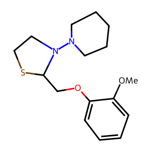 COc1ccccc1OCC1SCCN1N1CCCCC1